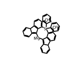 Cc1ccc2c3c1[Si](c1ccccc1)(c1ccccc1)c1c(C)ccc4c1[C](=C1C=CC=CC14)[Mg][C]3=C1C=CC=CC12